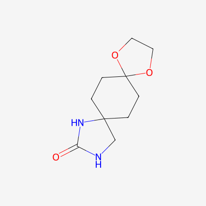 O=C1NCC2(CCC3(CC2)OCCO3)N1